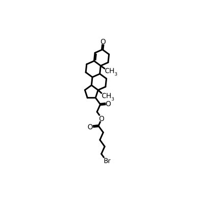 CC12CCC(=O)C=C1CCC1C2CCC2(C)C(C(=O)COC(=O)CCCCBr)CCC12